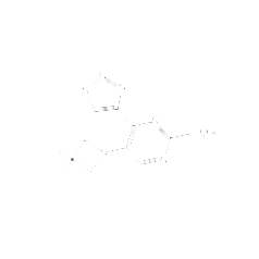 COc1ncc(N2CC(C)(F)C2)c(-c2c[nH]nn2)n1